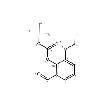 CCOc1cccc(C=O)c1OC(=O)OC(C)(C)C